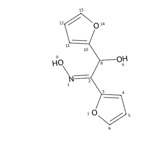 ON=C(c1ccco1)C(O)c1ccco1